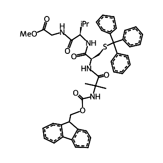 COC(=O)CNC(=O)[C@H](NC(=O)[C@@H](CSC(c1ccccc1)(c1ccccc1)c1ccccc1)NC(=O)C(C)(C)NC(=O)OCC1c2ccccc2-c2ccccc21)C(C)C